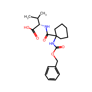 CC(C)[C@H](NC(=O)C1(NC(=O)OCc2ccccc2)CCCCC1)C(=O)O